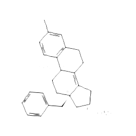 CCC[C@@]12CC[C@@]3(Cc4ccccc4)C[C@@H](OC)CC3=C1CCc1cc(C)ccc12